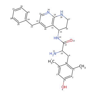 Cc1cc(O)cc(C)c1CC(N)C(=O)NC1CCNc2ncc(Cc3ccccc3)cc21